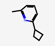 Cc1cccc(C2CCC2)n1